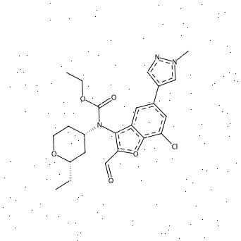 CCOC(=O)N(c1c(C=O)oc2c(Cl)cc(-c3cnn(C)c3)cc12)[C@H]1CCO[C@@H](CC)C1